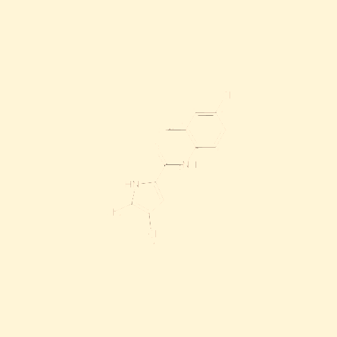 O=C(Nc1ccc(Cl)cc1Cl)c1cc(Cl)c(Cl)[nH]1